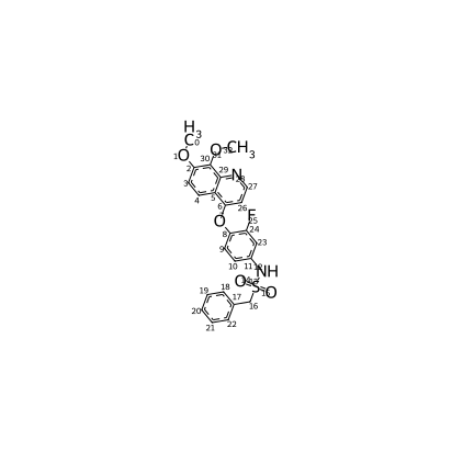 COc1ccc2c(Oc3ccc(NS(=O)(=O)Cc4ccccc4)cc3F)ccnc2c1OC